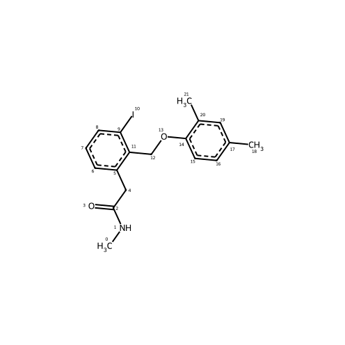 CNC(=O)Cc1cccc(I)c1COc1ccc(C)cc1C